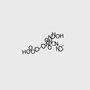 Cc1cccnc1CN1CCC2(CC1)C(=O)N(c1ccc(-c3ccc(OC(=O)O)cc3)cc1)C(=O)N2c1cc(O)ncn1